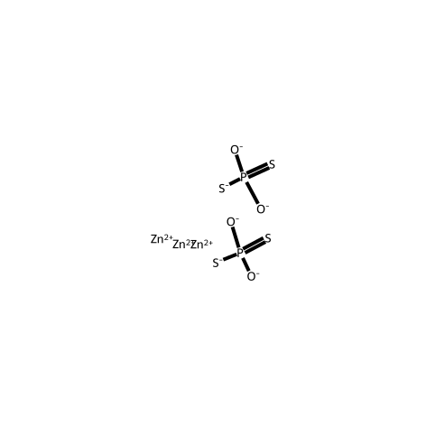 [O-]P([O-])(=S)[S-].[O-]P([O-])(=S)[S-].[Zn+2].[Zn+2].[Zn+2]